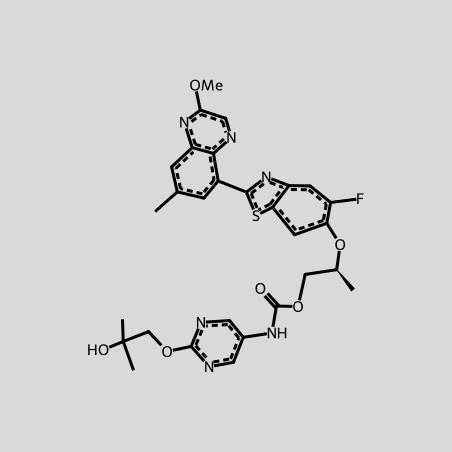 COc1cnc2c(-c3nc4cc(F)c(O[C@@H](C)COC(=O)Nc5cnc(OCC(C)(C)O)nc5)cc4s3)cc(C)cc2n1